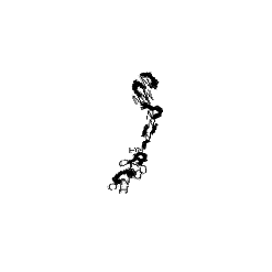 O=C1CCC(N2C(=O)c3ccc(NCCCN4CCN(c5cccc(-c6cnc7ccc(N8CCCC8)nn67)n5)CC4)cc3C2=O)C(=O)N1